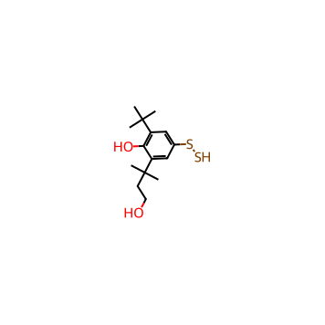 CC(C)(C)c1cc(SS)cc(C(C)(C)CCO)c1O